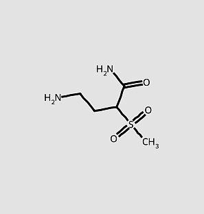 CS(=O)(=O)C(CCN)C(N)=O